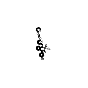 CC(C)(C)[S@+]([O-])N[C@@H](Cc1cccc(OCCOC2CCCCO2)n1)c1ccccc1-c1noc2cc(Br)ccc12